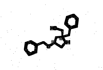 OC[C@]1(Cc2ccccc2)C[C@H](OCc2ccccc2)CN1